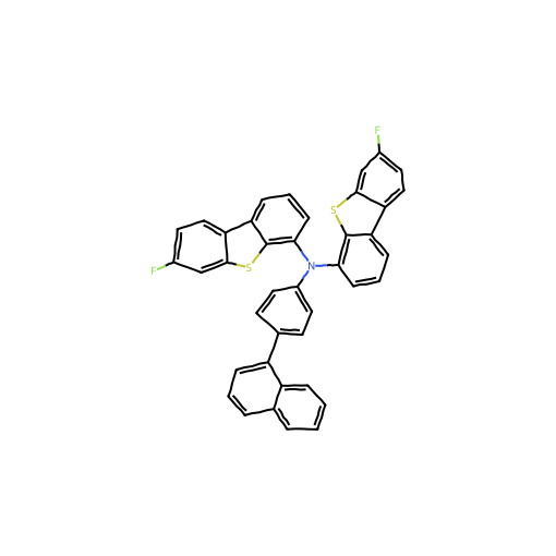 Fc1ccc2c(c1)sc1c(N(c3ccc(-c4cccc5ccccc45)cc3)c3cccc4c3sc3cc(F)ccc34)cccc12